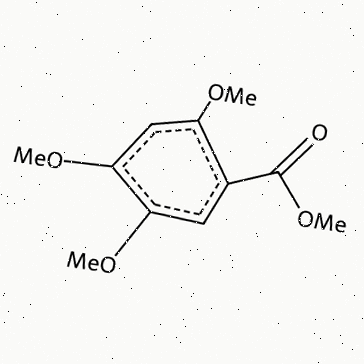 [CH2]OC(=O)c1cc(OC)c(OC)cc1OC